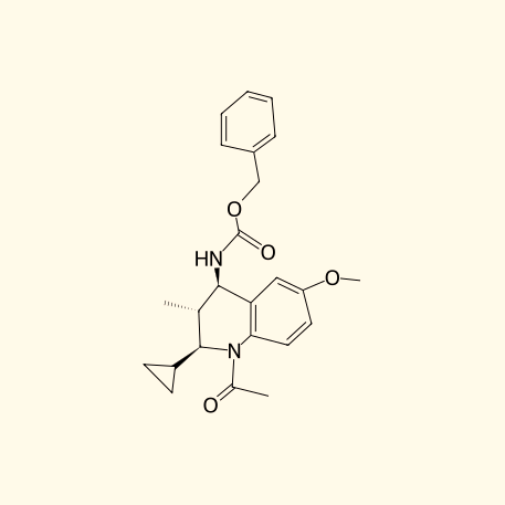 COc1ccc2c(c1)[C@H](NC(=O)OCc1ccccc1)[C@@H](C)[C@H](C1CC1)N2C(C)=O